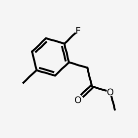 COC(=O)Cc1cc(C)ccc1F